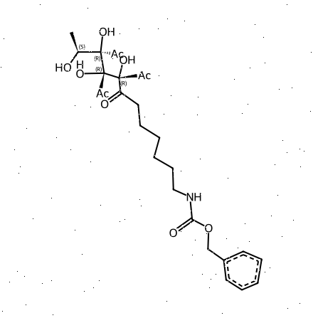 CC(=O)[C@@](O)(C(=O)CCCCCCNC(=O)OCc1ccccc1)[C@@](O)(C(C)=O)[C@@](O)(C(C)=O)[C@H](C)O